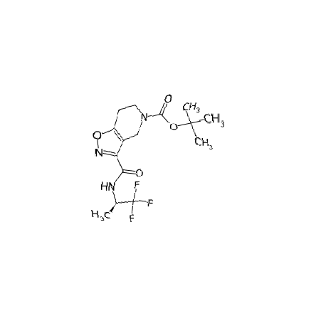 C[C@@H](NC(=O)c1noc2c1CN(C(=O)OC(C)(C)C)CC2)C(F)(F)F